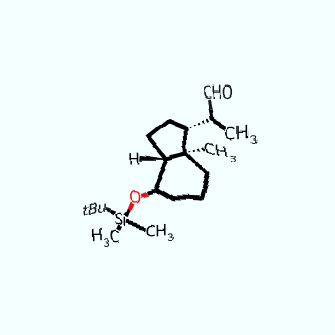 CC(C=O)[C@H]1CC[C@H]2C(O[Si](C)(C)C(C)(C)C)CCC[C@]12C